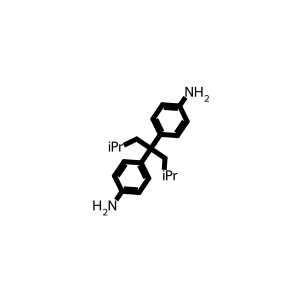 CC(C)CC(CC(C)C)(c1ccc(N)cc1)c1ccc(N)cc1